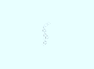 O=C(c1ccc(-c2ccc3c(Nc4ccc5scnc5c4)ccnc3c2)c(F)c1)N1CCC2(CCNC2)CC1